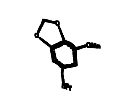 CCCc1cc(OC)c2c(c1)OCO2